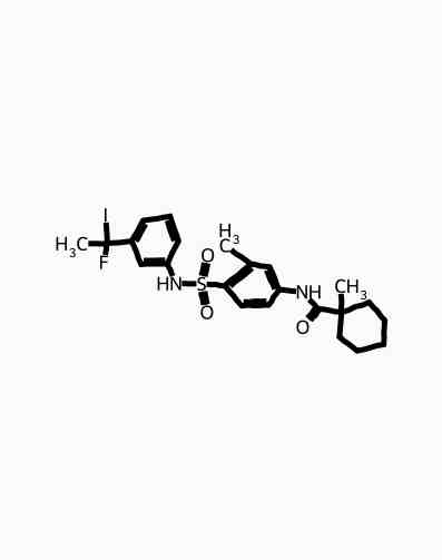 Cc1cc(NC(=O)C2(C)CCCCC2)ccc1S(=O)(=O)Nc1cccc(C(C)(F)I)c1